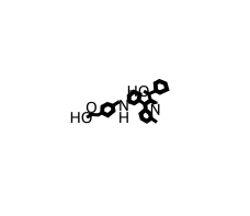 Cc1cccc2c(-c3cccc(NCc4ccc(CC(=O)O)cc4)c3)c(C(O)c3ccccc3)cnc12